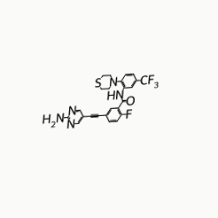 Nc1ncc(C#Cc2ccc(F)c(C(=O)Nc3cc(C(F)(F)F)ccc3N3CCSCC3)c2)cn1